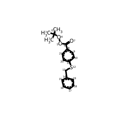 CC(C)(C)OOC(=O)c1ccc(SCc2ccccc2)cc1